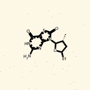 CCC1C[C@@H](C)C(n2c(=O)sc3c(=O)[nH]c(N)nc32)O1